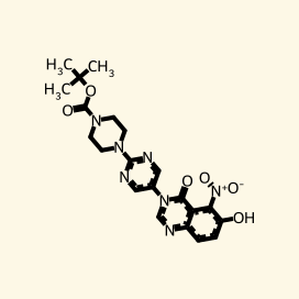 CC(C)(C)OC(=O)N1CCN(c2ncc(-n3cnc4ccc(O)c([N+](=O)[O-])c4c3=O)cn2)CC1